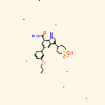 CCCOc1cccc(-c2cc(C(N)=O)c3[nH]cc(C4CCS(O)(O)CC4)c3c2)c1